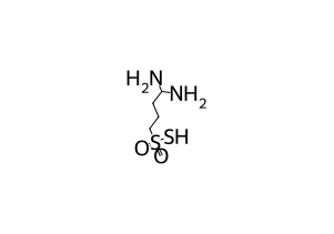 NC(N)CCCS(=O)(=O)S